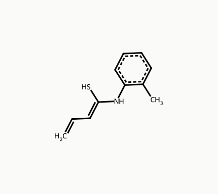 C=C/C=C(\S)Nc1ccccc1C